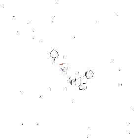 OC1(c2nnc(C[N+]34CCC(CC3)C(Oc3cccc(F)c3)C4)o2)c2ccccc2-c2ccccc21